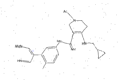 CN/C=C(\C=N)c1cc(NC(=N)C2=C(NCC3CC3)CCN(C(C)=O)C2)ccc1C